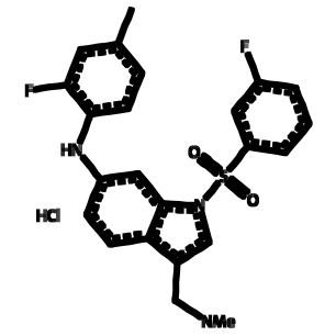 CNCc1cn(S(=O)(=O)c2cccc(F)c2)c2cc(Nc3ccc(C)cc3F)ccc12.Cl